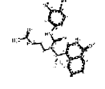 CC(=O)NCCN(C(=O)Nc1ccc(F)c(Cl)c1)[C@@H](C)c1c[nH]c(=O)c2ccccc12